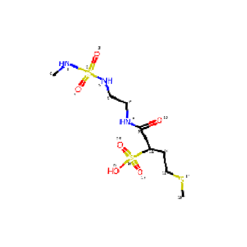 CNS(=O)(=O)NCCNC(=O)C(CCSC)S(=O)(=O)O